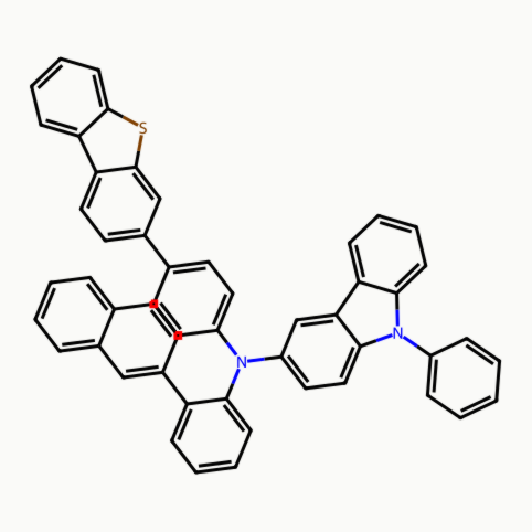 c1ccc(-n2c3ccccc3c3cc(N(c4ccc(-c5ccc6c(c5)sc5ccccc56)cc4)c4ccccc4-c4ccc5ccccc5c4)ccc32)cc1